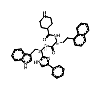 O=C(N[C@H](CCc1cccc2ccccc12)C(=O)N[C@H](Cc1c[nH]c2ccccc12)c1nc(-c2ccccc2)c[nH]1)C1CCNCC1